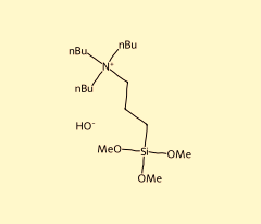 CCCC[N+](CCCC)(CCCC)CCC[Si](OC)(OC)OC.[OH-]